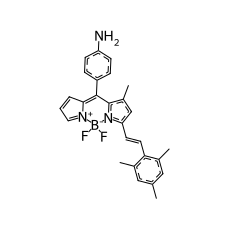 Cc1cc(C)c(/C=C/c2cc(C)c3n2[B-](F)(F)[N+]2=CC=CC2=C3c2ccc(N)cc2)c(C)c1